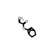 C=CC(=O)OC1=CC2CCC1C2